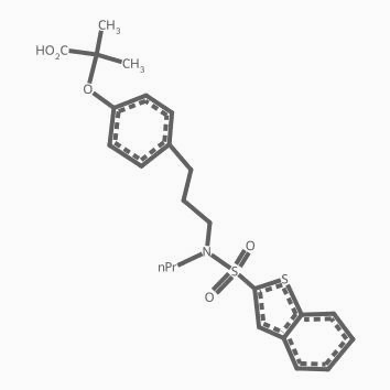 CCCN(CCCc1ccc(OC(C)(C)C(=O)O)cc1)S(=O)(=O)c1cc2ccccc2s1